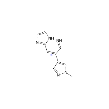 Cn1cc(/C(C=N)=C/c2ncc[nH]2)cn1